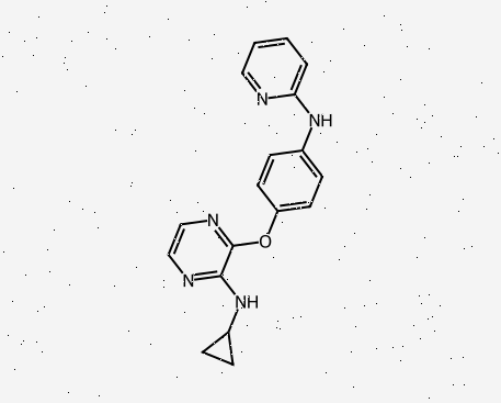 c1ccc(Nc2ccc(Oc3nccnc3NC3CC3)cc2)nc1